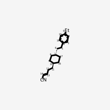 CCc1ccc(CC[C@H]2CC[C@H](CC/C=C/C#N)CC2)cc1